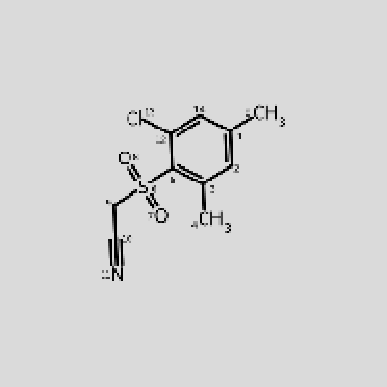 Cc1cc(C)c(S(=O)(=O)CC#N)c(Cl)c1